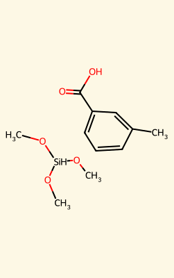 CO[SiH](OC)OC.Cc1cccc(C(=O)O)c1